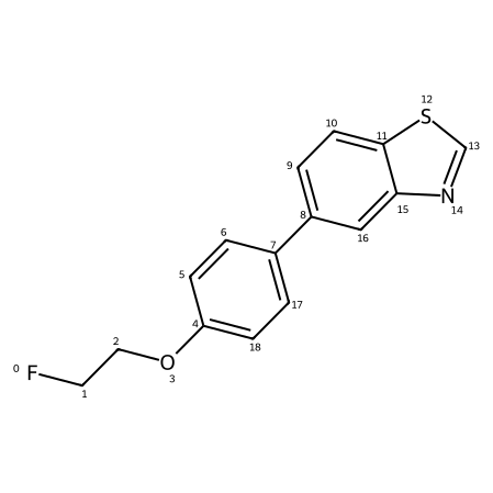 FCCOc1ccc(-c2ccc3scnc3c2)cc1